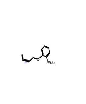 C/C=C\COc1ccccc1NC(C)=O